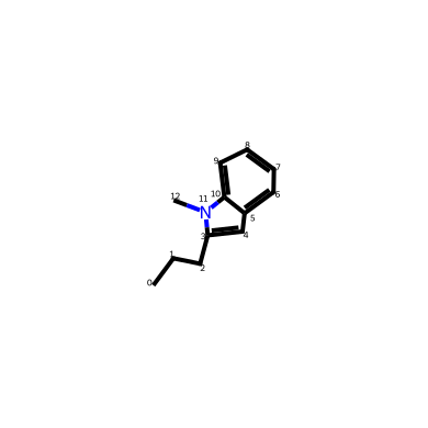 CCCc1cc2ccccc2n1C